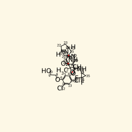 CC(C)(Oc1cc(OCCO)c(Cl)cc1Cl)C(=O)N[C@H]1C[C@H]2CC[C@@H](C1)N2c1ccc(C(=O)NC2CC2(F)F)cn1